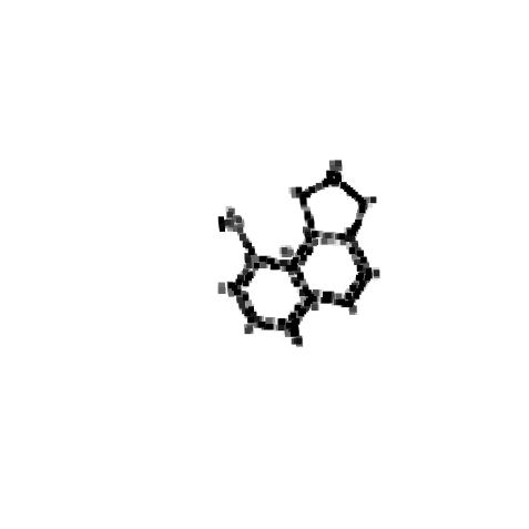 Oc1ncnc2ccc3c(c12)COC3